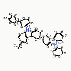 Cc1ccc2c(c1)c1cc(-c3ccc4c(c3)c3ccccc3n4-c3ccccc3)ccc1n2-c1cccc(-c2ccccc2)c1